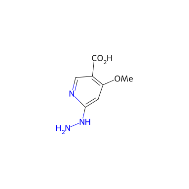 COc1cc(NN)ncc1C(=O)O